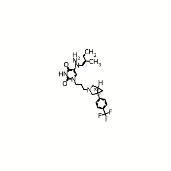 C=C/C(C)=C\N(N)c1cn(CCCN2C[C@@H]3C[C@]3(c3ccc(C(F)(F)F)cc3)C2)c(=O)[nH]c1=O